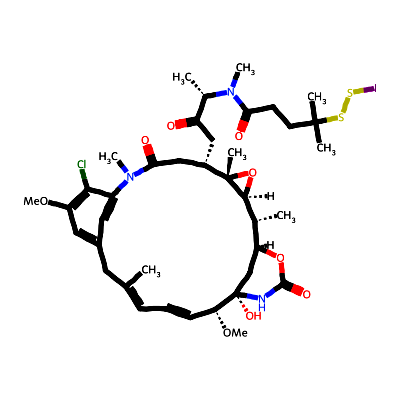 COc1cc2cc(c1Cl)N(C)C(=O)C[C@H](CC(=O)[C@H](C)N(C)C(=O)CCC(C)(C)SSI)[C@]1(C)O[C@H]1[C@H](C)[C@@H]1C[C@@](O)(NC(=O)O1)[C@H](OC)/C=C/C=C(\C)C2